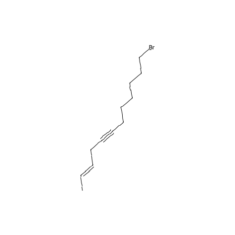 CC=CCC#CCCCCCCBr